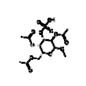 CO[C@H]1O[C@H](COC(C)=O)[C@H](OC(C)=O)[C@H](OS(=O)(=O)O)[C@H]1OC(C)=O